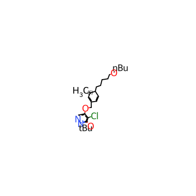 CCCCOCCCCCC1C=CC(COc2cnn(C(C)(C)C)c(=O)c2Cl)=C[C@H]1C